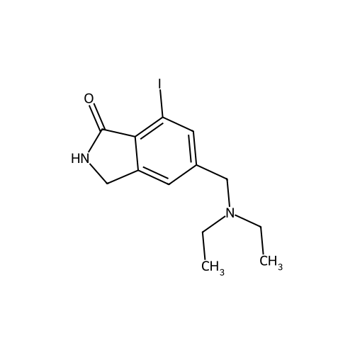 CCN(CC)Cc1cc(I)c2c(c1)CNC2=O